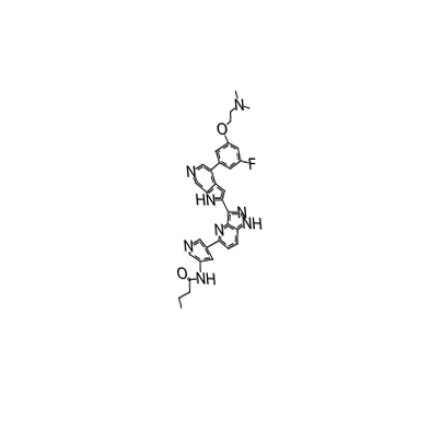 CCCC(=O)Nc1cncc(-c2ccc3[nH]nc(-c4cc5c(-c6cc(F)cc(OCCN(C)C)c6)cncc5[nH]4)c3n2)c1